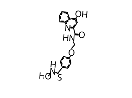 O=C(NCCOc1ccc(C(=S)NO)cc1)c1cc(O)c2ccccc2n1